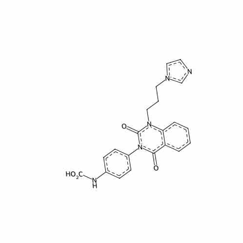 O=C(O)Nc1ccc(-n2c(=O)c3ccccc3n(CCCn3ccnc3)c2=O)cc1